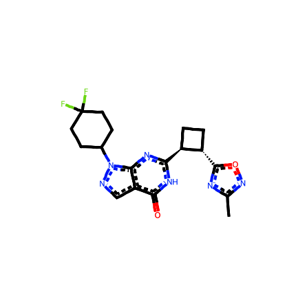 Cc1noc([C@H]2CC[C@@H]2c2nc3c(cnn3C3CCC(F)(F)CC3)c(=O)[nH]2)n1